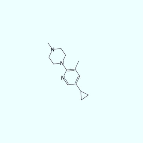 Cc1cc(C2CC2)cnc1N1CCN(C)CC1